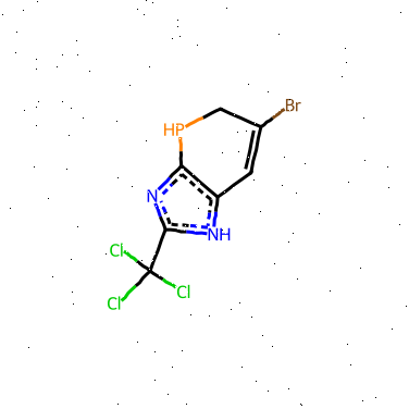 ClC(Cl)(Cl)c1nc2c([nH]1)C=C(Br)CP2